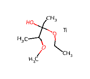 CCOC(C)(O)C(C)OC.[Ti]